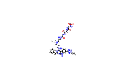 CN(CCCNC(=O)CNC(=O)CNC(=O)CNC(=O)O)CCCNc1nc(Cc2ccccc2)nc2[nH]c3cc(-c4nnn(C)n4)ccc3c12